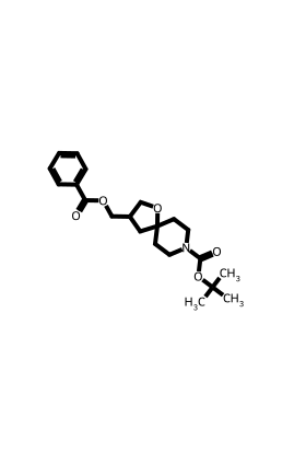 CC(C)(C)OC(=O)N1CCC2(CC1)CC(COC(=O)c1ccccc1)CO2